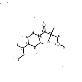 CCC(C)C1CCN(C(=O)C(C)(C)COC)CC1